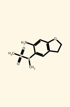 CN(c1cc2c(cc1N)OCC2)S(C)(=O)=O